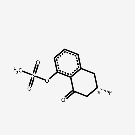 O=C1C[C@@H](F)Cc2cccc(OS(=O)(=O)C(F)(F)F)c21